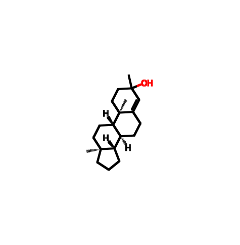 CC1(O)C=C2CC[C@H]3[C@@H]4CCC[C@@]4(C)CC[C@@H]3[C@@]2(C)CC1